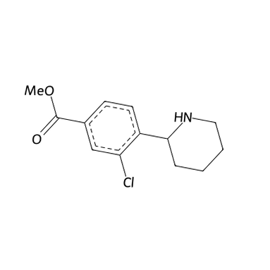 COC(=O)c1ccc(C2CCCCN2)c(Cl)c1